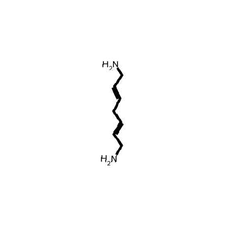 NCC=CCC=CCN